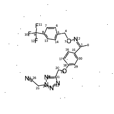 CC(=NOCc1ccc(C(F)(F)F)cc1)c1ccc(OCc2nnn(CC#N)n2)cc1